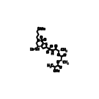 CCN[C@H]1CN(CCCOC)S(=O)(=O)c2sc(S(=O)(=O)NC(=O)[C@H](C)OC(=O)[C@H](C)OC(=O)[C@H](C)OC(C)=O)cc21